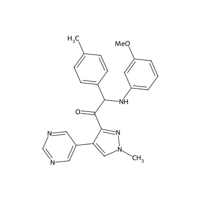 COc1cccc(NC(C(=O)c2nn(C)cc2-c2cncnc2)c2ccc(C)cc2)c1